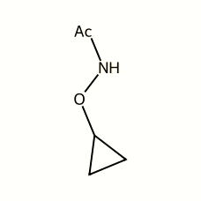 CC(=O)NOC1CC1